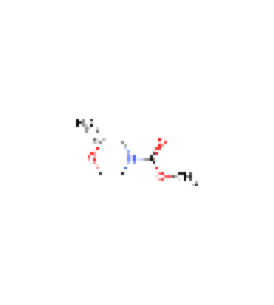 COC(=O)N1CCO[C@H](C)C1